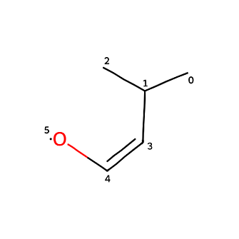 CC(C)/C=C\[O]